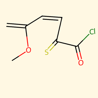 C=C(/C=C\C(=S)C(=O)Cl)OC